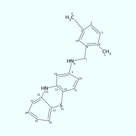 Cc1ccc(C)c(CNc2ccc3c(c2)Nc2ccccc2S3)c1